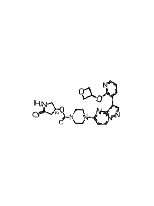 O=C1C[C@H](OC(=O)N2CCN(c3ccn4ncc(-c5cccnc5OC5COC5)c4n3)CC2)CN1